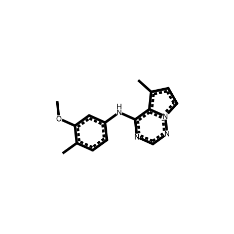 COc1cc(Nc2ncnn3ccc(C)c23)ccc1C